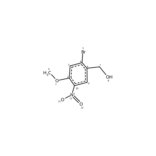 COc1cc(Br)c(CO)cc1[N+](=O)[O-]